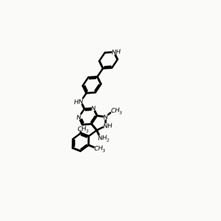 Cc1cccc(C)c1C1(N)NN(C)c2nc(Nc3ccc(C4=CCNCC4)cc3)ncc21